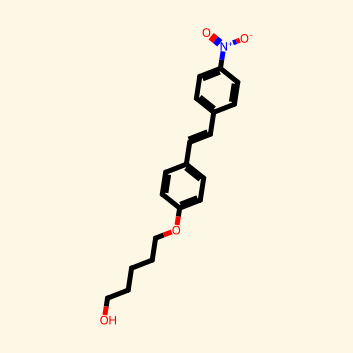 O=[N+]([O-])c1ccc(/C=C/c2ccc(OCCCCCO)cc2)cc1